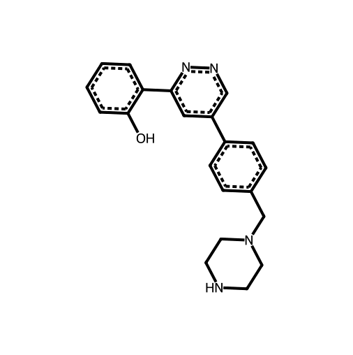 Oc1ccccc1-c1cc(-c2ccc(CN3CCNCC3)cc2)cnn1